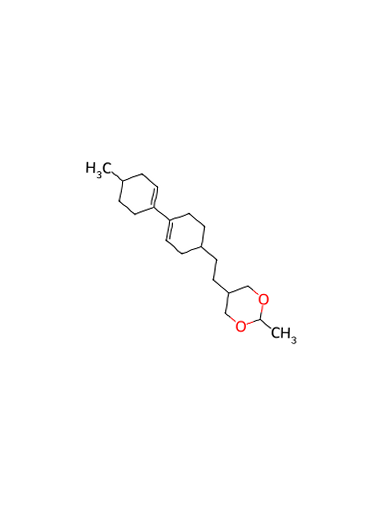 CC1CC=C(C2=CCC(CCC3COC(C)OC3)CC2)CC1